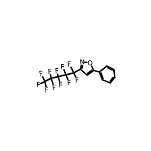 FC(F)(F)C(F)(F)C(F)(F)C(F)(F)C(F)(F)c1cc(-c2ccccc2)on1